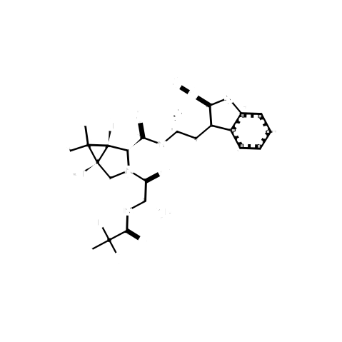 CC(F)(F)C(=O)N[C@H](C(=O)N1C[C@H]2[C@@H]([C@H]1C(=O)N[C@H](C#N)CC1C(=C=O)Nc3ccccc31)C2(C)C)C(C)(C)C